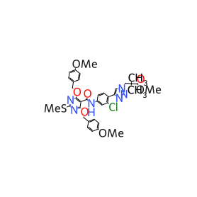 COC(=O)C(C)(C)Cn1cc(-c2ccc(NC(=O)c3c(OCc4ccc(OC)cc4)nc(SC)nc3OCc3ccc(OC)cc3)cc2Cl)nn1